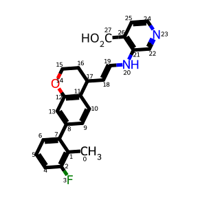 Cc1c(F)cccc1-c1ccc2c(c1)OCCC2/C=C/Nc1cnccc1C(=O)O